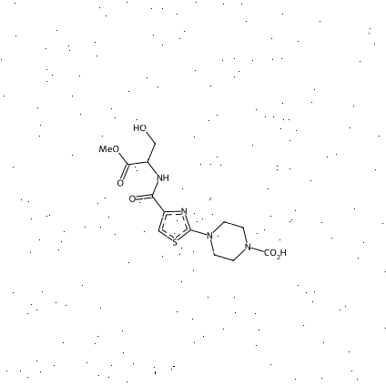 COC(=O)C(CO)NC(=O)c1csc(N2CCN(C(=O)O)CC2)n1